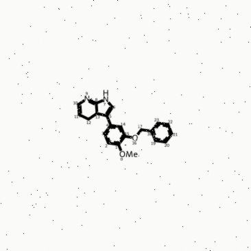 COc1ccc(C2=CNC3=NC=CCC23)cc1OCc1ccccc1